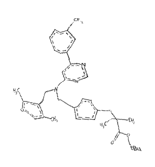 Cc1coc(C)c1CN(Cc1ccc(SC(C)(C)C(=O)OC(C)(C)C)cc1)c1cc(-c2cccc(C(F)(F)F)c2)ncn1